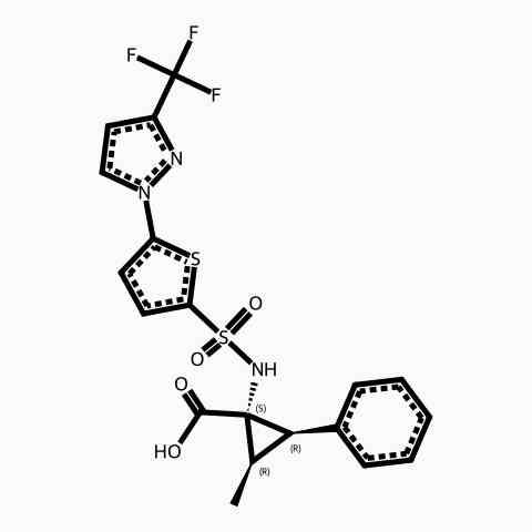 C[C@@H]1[C@H](c2ccccc2)[C@]1(NS(=O)(=O)c1ccc(-n2ccc(C(F)(F)F)n2)s1)C(=O)O